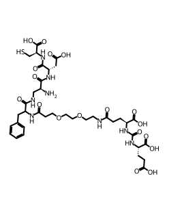 N[C@@H](CNC(=O)C(Cc1ccccc1)NC(=O)CCOCCOCCNC(=O)CC[C@H](NC(=O)N[C@@H](CCC(=O)O)C(=O)O)C(=O)O)C(=O)N[C@@H](CC(=O)O)C(=O)N[C@@H](CS)C(=O)O